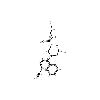 C[C@@H]1CN(c2ccc(C#N)c3ncccc23)C[C@H](C(=O)NCCF)O1